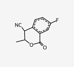 CC1OC(=O)c2cc(F)ccc2C1C#N